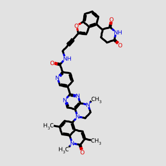 Cc1cc(N2CCN(C)c3nc(-c4ccc(C(=O)NCC#Cc5cc6c(C7CCC(=O)NC7=O)cccc6o5)nc4)ncc32)c2cc(C)c(=O)n(C)c2c1